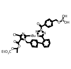 CCCCc1nc(Cl)c(C(=O)OC(C)OC(=O)OCC)n1Cc1ccc(-c2ccccc2-c2nnn(C(=O)c3ccc(CON(O)O)cc3)n2)cc1